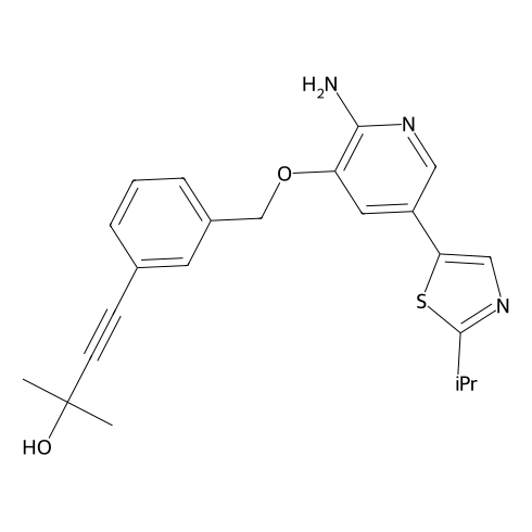 CC(C)c1ncc(-c2cnc(N)c(OCc3cccc(C#CC(C)(C)O)c3)c2)s1